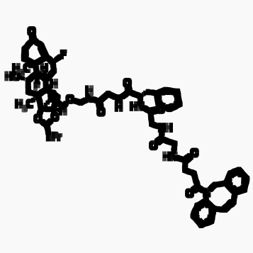 CCCC1O[C@@H]2C[C@H]3[C@@H]4C[C@H](F)C5=CC(=O)C=C[C@]5(C)[C@@]4(F)[C@@H](O)C[C@]3(C)[C@]2(C(=O)COCNC(=O)CNC(=O)[C@H](Cc2ccccc2)NC(=O)CNC(=O)CNC(=O)CCC(=O)N2Cc3ccccc3/C=C\c3ccccc32)O1